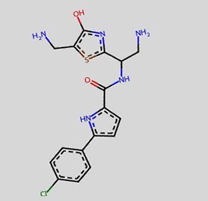 NCc1sc(C(CN)NC(=O)c2ccc(-c3ccc(Cl)cc3)[nH]2)nc1O